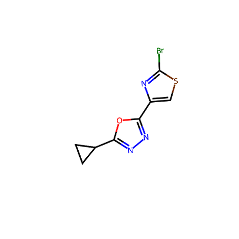 Brc1nc(-c2nnc(C3CC3)o2)cs1